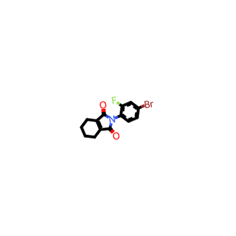 O=C1C2=C(CCCC2)C(=O)N1c1ccc(Br)cc1F